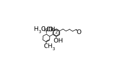 C=C(C)[C@@H]1CCC(C)=CC1c1c(O)cc(CCCCC=O)cc1O